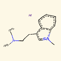 CCCN(CCC)CCc1cn(C)c2ccccc12.I